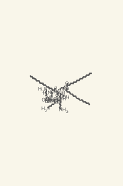 CCCCCCCCCCCCCCCC(=O)N[C@@H](CSCC(COC(=O)CCCCCCCCCCCCCCC)OC(=O)CCCCCCCCCCCCCCC)C(=O)N[C@@H](CO)C(=O)NC(CCCCN)C(=O)N[C@@H](CCCCN)C(=O)N[C@@H](CCCCN)C(=O)N[C@@H](CCCCN)C(=O)O